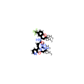 CC1(C)CC(=O)N([C@H](c2cccnc2)[C@@H]2C[C@H]2C(=O)NC2CC(C)(C)Oc3ccc(C(F)(F)F)cc32)C(=N)N1